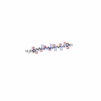 CCC1CC(=O)N(CCNC(=O)CCNC(=O)CNC(=O)CNC(=O)CNC(=O)CCCN2C(=O)CC(C)C2=O)C1=O